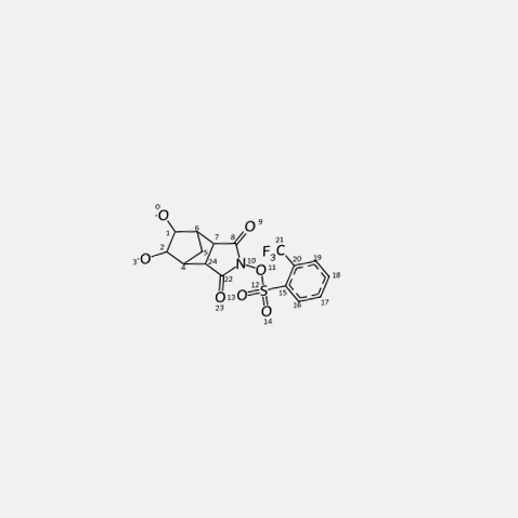 [O]C1C([O])C2CC1C1C(=O)N(OS(=O)(=O)c3ccccc3C(F)(F)F)C(=O)C21